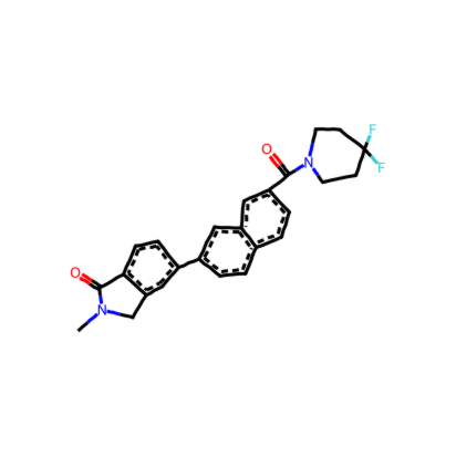 CN1Cc2cc(-c3ccc4ccc(C(=O)N5CCC(F)(F)CC5)cc4c3)ccc2C1=O